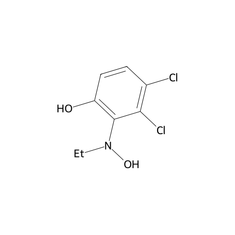 CCN(O)c1c(O)ccc(Cl)c1Cl